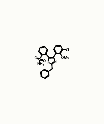 COc1c(Cl)cccc1-c1nc(Cc2ccccc2)oc1-c1ccccc1S(N)(=O)=O